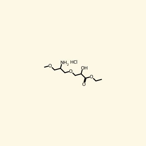 CCOC(=O)C(O)COCC(N)COC.Cl